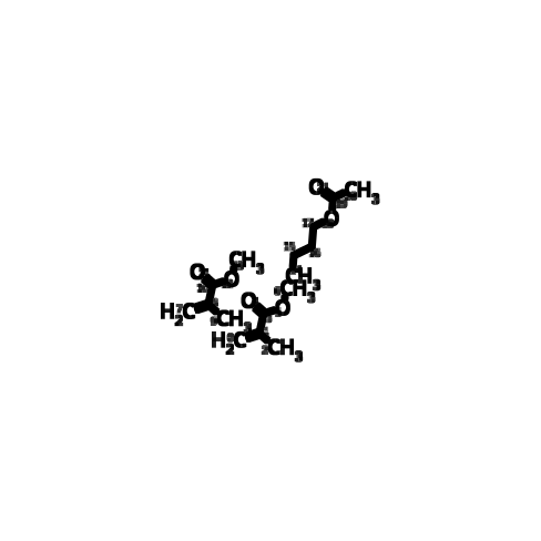 C=C(C)C(=O)OC.C=C(C)C(=O)OC.CCCCOC(C)=O